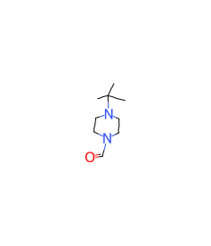 CC(C)(C)N1CCN(C=O)CC1